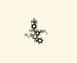 COCc1nc2ccccc2n1-c1cc(N)nc(Nc2ccc(C(F)(F)F)cc2)n1